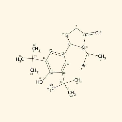 CC(Br)N1C(=O)CSC1c1cc(C(C)(C)C)c(O)c(C(C)(C)C)c1